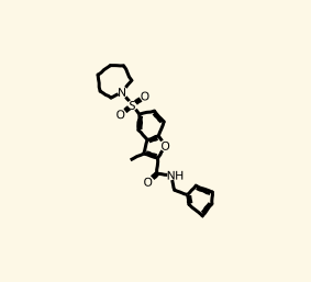 Cc1c(C(=O)NCc2ccccc2)oc2ccc(S(=O)(=O)N3CCCCCC3)cc12